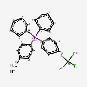 Cc1ccc([PH](c2ccccc2)(c2ccccc2)c2ccccc2)cc1.F[B-](F)(F)F.[H+]